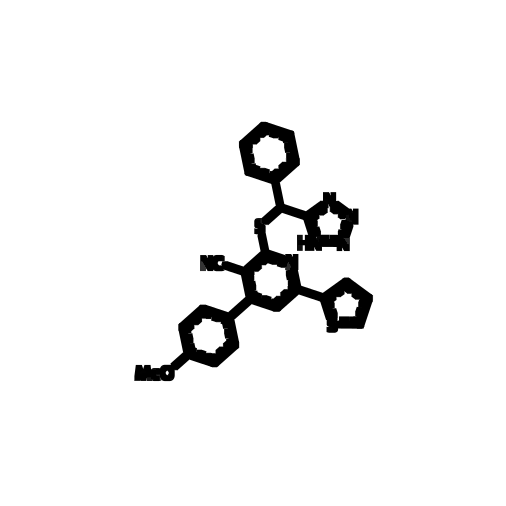 COc1ccc(-c2cc(-c3cccs3)nc(SC(c3ccccc3)c3nnn[nH]3)c2C#N)cc1